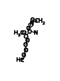 C#CCOCCOCCOCCOc1ccc(OC)c(-c2cc(C#N)cc(OC3CCN(C(=O)C=C)CC3)c2)c1